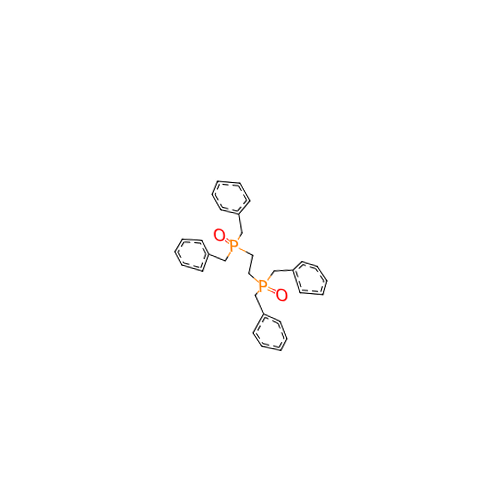 O=P(CCP(=O)(Cc1ccccc1)Cc1ccccc1)(Cc1ccccc1)Cc1ccccc1